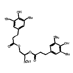 CCCCCCCCC(COC(=O)CCc1cc(C(C)(C)C)c(O)c(C(C)(C)C)c1)OC(=O)CCc1cc(C(C)(C)C)c(O)c(C(C)(C)C)c1